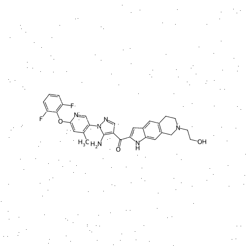 Cc1cc(Oc2c(F)cccc2F)ncc1-n1ncc(C(=O)c2cc3cc4c(cc3[nH]2)CN(CCO)CC4)c1N